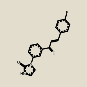 O=C(C=Cc1ccc(F)cc1)c1cccc(-n2cc[nH]c2=O)c1